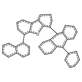 c1ccc(-c2c3ccccc3c(-c3cccc4c3oc3c(-c5cccc6ccccc56)cccc34)c3ccccc23)cc1